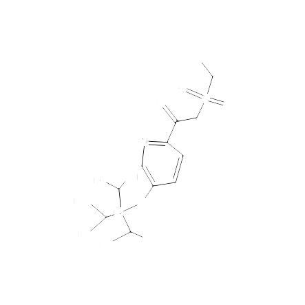 CCS(=O)(=O)CC(=O)c1ccc(O[Si](C(C)C)(C(C)C)C(C)C)cn1